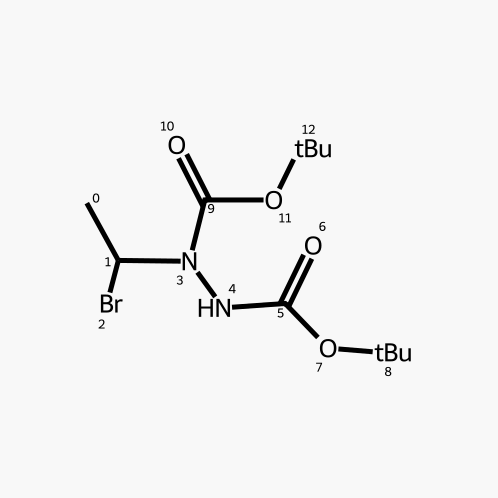 CC(Br)N(NC(=O)OC(C)(C)C)C(=O)OC(C)(C)C